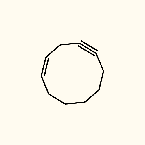 C1#CCCCCCC=CC1